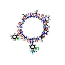 CC[C@H](C)[C@@H]1NC(=O)[C@H](CC(C)C)N(C)C(=O)C[C@@H](C(=O)N2CCCCC2)N(C)C(=O)[C@H](C(C)C)N(C)C(=O)C2(CCCC2)NC(=O)[C@@H]2CCCN2C(=O)[C@H](CCc2ccc(C(F)(F)F)c(Cl)c2)NC(=O)CN(C)C(=O)[C@H](COc2ccccc2Cl)N(C)C(=O)CN(C)C(=O)CN(C)C1=O